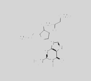 COCCO[C@H]1C(OC)[C@@H](COC)O[C@H]1n1cnc2c(=O)[nH]c(N)nc21